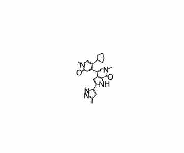 Cc1cc(-c2cc3c(-c4cc(=O)n(C)cc4C4CCCC4)cn(C)c(=O)c3[nH]2)n(C)n1